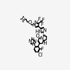 C[Si](C)(C)CCOCn1cc(-c2cnc([C@@H]3CC[C@@H]4CC(c5c(-n6cnnn6)ccc(Cl)c5F)=CC(=O)N43)[nH]2)c(C(F)(F)F)n1